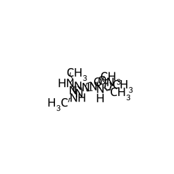 CCCNc1nc(NCCC)nc(N2CCN(C(=O)Nc3cc(C)c(C)nc3OC)CC2)n1